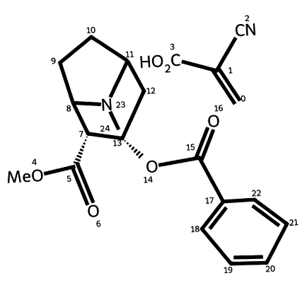 C=C(C#N)C(=O)O.COC(=O)[C@@H]1C2CCC(C[C@@H]1OC(=O)c1ccccc1)N2C